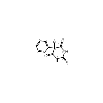 NC1(c2ccccc2)C(=O)NC(=O)NC1=O